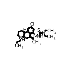 CCCN1CCC[C@@H]2c3cc(Cl)cc4c3c(c(C)n4NC(=S)N(CC)CC)C[C@H]21